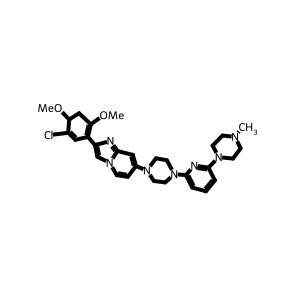 COC1=C(c2cn3ccc(N4CCN(c5cccc(N6CCN(C)CC6)n5)CC4)cc3n2)C=C(Cl)C(OC)C1